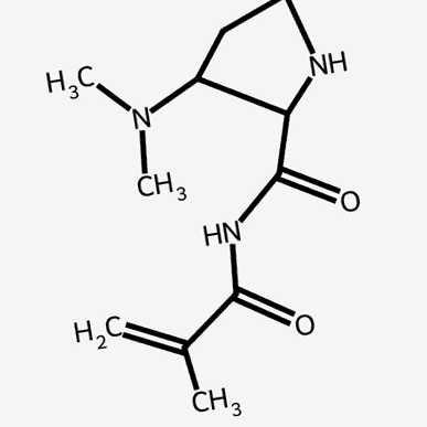 C=C(C)C(=O)NC(=O)C1NCCC1N(C)C